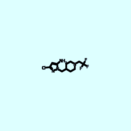 Nc1cc(Cl)nn1CC1CCN(CC(F)(F)F)CC1